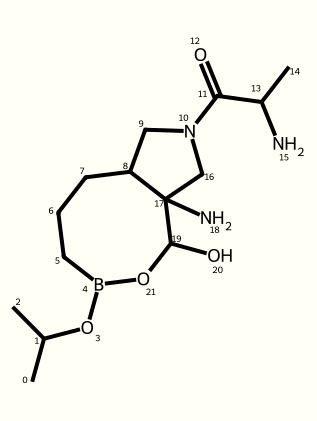 CC(C)OB1CCCC2CN(C(=O)C(C)N)CC2(N)C(O)O1